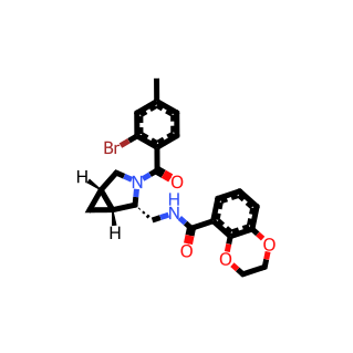 Cc1ccc(C(=O)N2C[C@H]3C[C@H]3[C@H]2CNC(=O)c2cccc3c2OCCO3)c(Br)c1